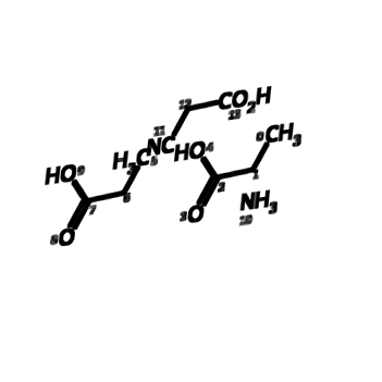 CCC(=O)O.CCC(=O)O.N.N#CCC(=O)O